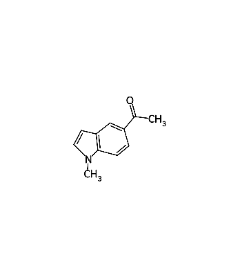 CC(=O)c1ccc2c(ccn2C)c1